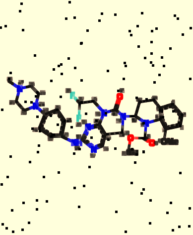 COc1cccc2c1N(C(=O)OC(C)(C)C)C(N1Cc3cnc(Nc4ccc(N5CCN(C)CC5)cc4)nc3N(CC(F)F)C1=O)CC2